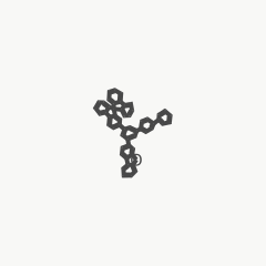 c1ccc(-c2ccc(-c3cc(-c4ccc5c(c4)C4(c6ccccc6-c6ccccc64)c4ccccc4-5)cc(-c4ccc5c(c4)oc4ccccc45)c3)cc2)cc1